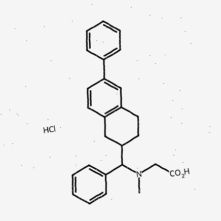 CN(CC(=O)O)C(c1ccccc1)C1CCc2cc(-c3ccccc3)ccc2C1.Cl